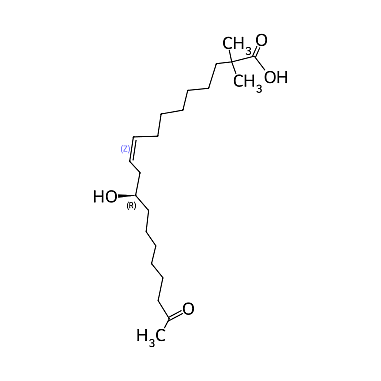 CC(=O)CCCCCC[C@@H](O)C/C=C\CCCCCCC(C)(C)C(=O)O